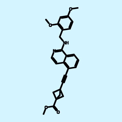 COC(=O)C12CC(C#Cc3cccc4c(NCc5ccc(OC)cc5OC)nccc34)(C1)C2